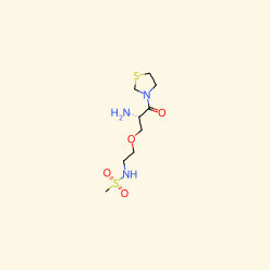 CS(=O)(=O)NCCOC[C@H](N)C(=O)N1CCSC1